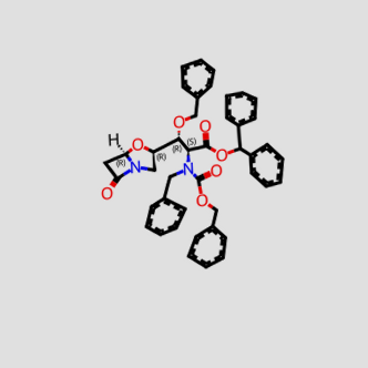 O=C(OC(c1ccccc1)c1ccccc1)[C@H]([C@@H](OCc1ccccc1)[C@H]1CN2C(=O)C[C@H]2O1)N(Cc1ccccc1)C(=O)OCc1ccccc1